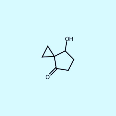 O=C1CCC(O)C12CC2